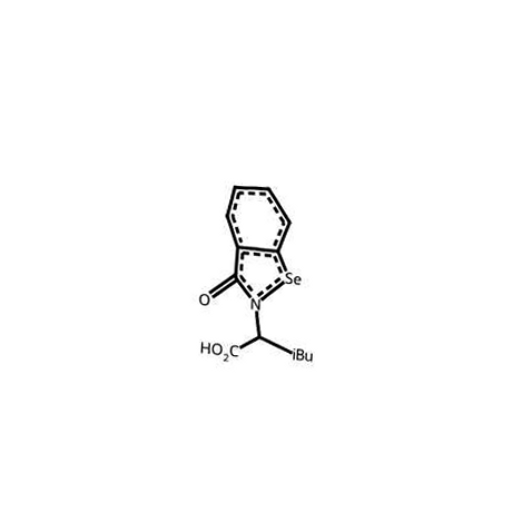 CCC(C)C(C(=O)O)n1[se]c2ccccc2c1=O